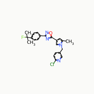 Cc1cc(-c2nc(-c3ccc(C(C)(C)F)cc3)no2)cn1Cc1ccc(Cl)nc1